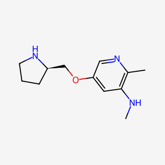 CNc1cc(OC[C@H]2CCCN2)cnc1C